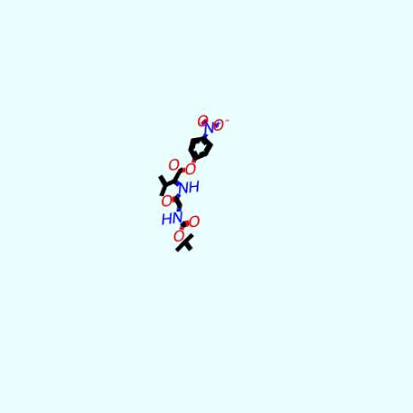 CC(C)C(NC(=O)CNC(=O)OC(C)(C)C)C(=O)Oc1ccc([N+](=O)[O-])cc1